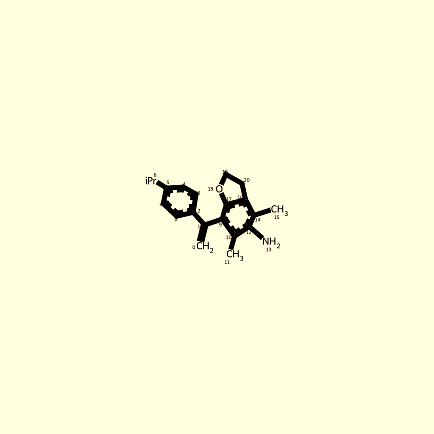 C=C(c1ccc(C(C)C)cc1)c1c(C)c(N)c(C)c2c1OCC2